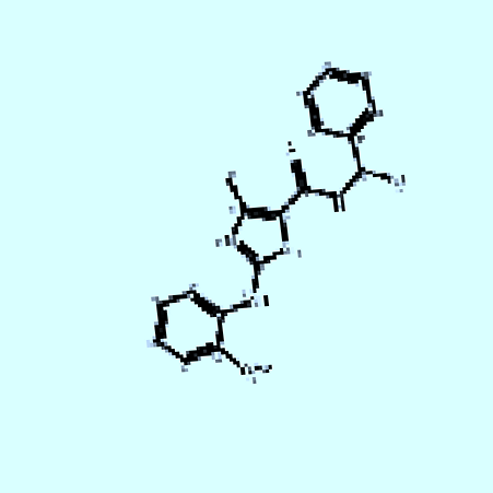 CC[C@@H](NC(=O)c1sc(Nc2ccccc2OC)nc1C)c1ccccc1